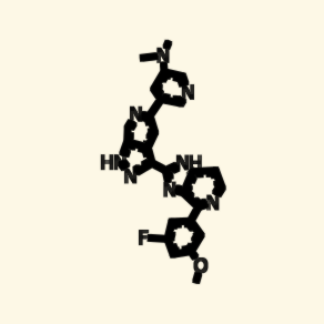 COc1cc(F)cc(-c2nccc3[nH]c(-c4n[nH]c5cnc(-c6cncc(N(C)C)c6)cc45)nc23)c1